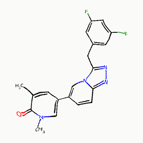 Cc1cc(-c2ccc3nnc(Cc4cc(F)cc(F)c4)n3c2)cn(C)c1=O